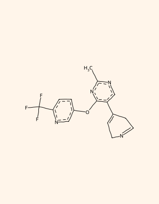 Cc1ncc(C2=CCN=CC2)c(Oc2ccc(C(F)(F)F)nc2)n1